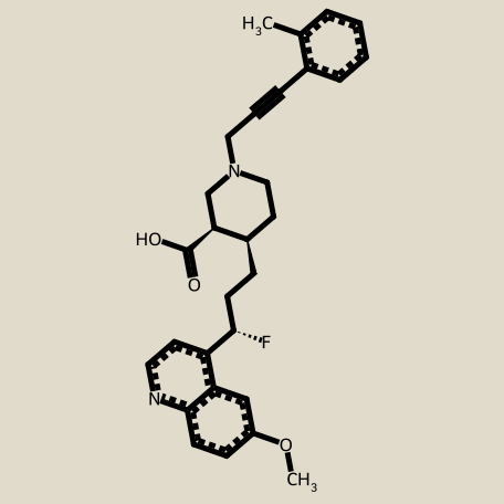 COc1ccc2nccc([C@@H](F)CC[C@@H]3CCN(CC#Cc4ccccc4C)C[C@@H]3C(=O)O)c2c1